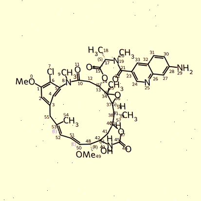 COc1cc2cc(c1Cl)N(C)C(=O)C[C@H](OC(=O)[C@H](C)N(C)C(=O)c1cnc3cc(N)ccc3c1)[C@]1(C)O[C@H]1[C@H](C)[C@@H]1C[C@@](O)(NC(=O)O1)[C@H](OC)/C=C/C=C(\C)C2